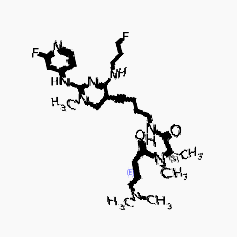 C[C@@H](C(=O)NCCCC#CC1=CN(C)C(Nc2ccnc(F)c2)N=C1NCCCF)N(C)C(=O)/C=C/CN(C)C